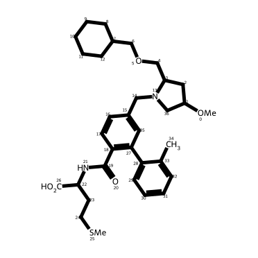 COC1CC(COCC2CCCCC2)N(Cc2ccc(C(=O)NC(CCSC)C(=O)O)c(-c3ccccc3C)c2)C1